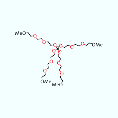 COCCOCCOCCO[Si](OCCOCCOCCOC)(OCCOCCOCCOC)OCCOCCOCCOC